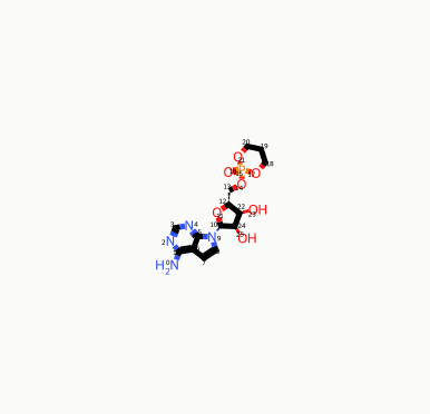 Nc1ncnc2c1ccn2[C@@H]1O[C@H](COP2(=O)OCCCO2)[C@@H](O)[C@H]1O